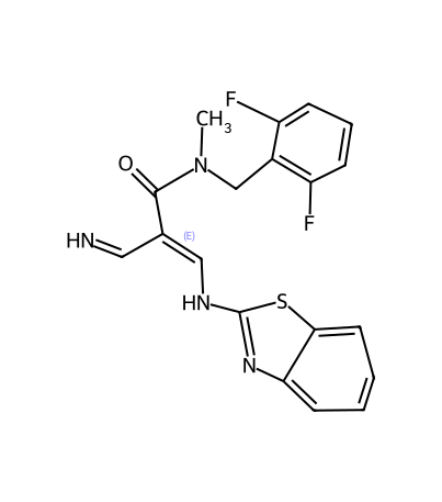 CN(Cc1c(F)cccc1F)C(=O)/C(C=N)=C/Nc1nc2ccccc2s1